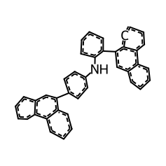 c1ccc(-c2cc3ccccc3c3ccccc23)c(Nc2ccc(-c3cc4ccccc4c4ccccc34)cc2)c1